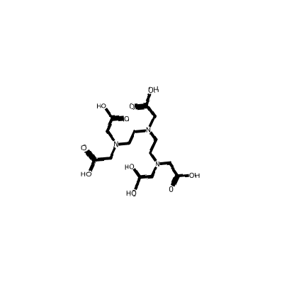 O=C(O)CN(CCN(CC(=O)O)CC(=O)O)CCN(CC(=O)O)CC(O)O